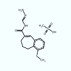 CS(=O)(=O)O.CSc1cccc2c1CCCC(C(=O)NC=NN)=C2